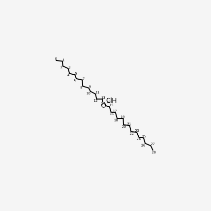 CCCCCCCCCCCCCCOCCCCCCCCCCCCCC.Cl